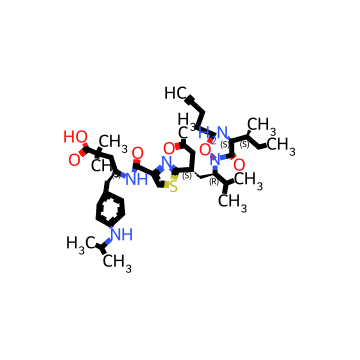 C#CCCCON(C(=O)[C@@H](N)[C@@H](C)CC)[C@H](C[C@@H](CC(C)=O)c1nc(C(=O)N[C@@H](Cc2ccc(NC(C)C)cc2)CC(C)(C)C(=O)O)cs1)C(C)C